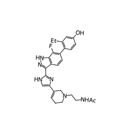 CCc1cc(O)ccc1-c1ccc2c(-c3nc(C4=CCCN(CCNC(C)=O)C4)c[nH]3)n[nH]c2c1F